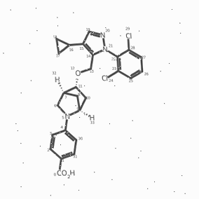 O=C(O)c1ccc(N2C[C@@H]3C[C@H]2C[C@H]3OCc2c(C3CC3)cnn2-c2c(Cl)cccc2Cl)cc1